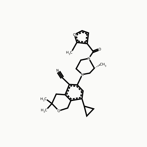 Cc1occc1C(=O)N1CCN(c2cc(C3CC3)c3c(c2C#N)CC(C)(C)OC3)C[C@H]1C